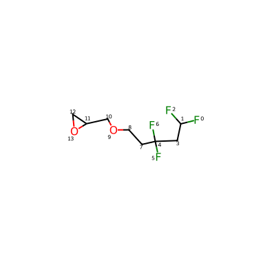 FC(F)CC(F)(F)CCOCC1CO1